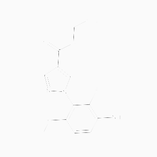 CCOC(=O)c1cnn(-c2c(OC)ccc(N)c2F)c1